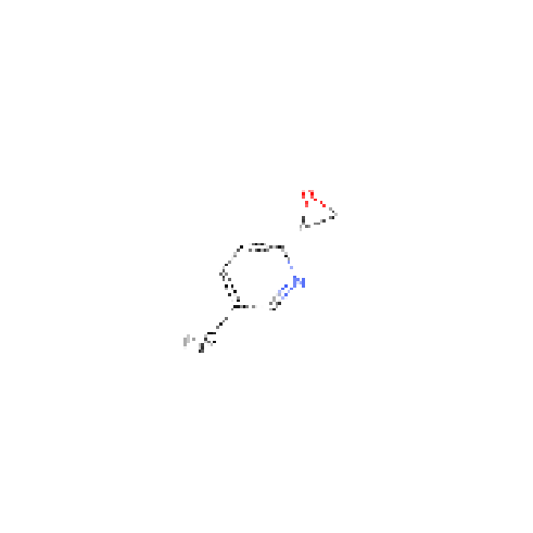 C1CO1.Cc1cccnc1